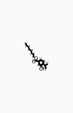 CCCCCCCCOC(=O)c1ccc(C(C)C)c(O)c1